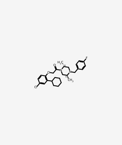 C[C@@H]1CN(Cc2ccc(F)cc2)[C@@H](C)CN1C(=O)COc1ccc(Cl)cc1C1CCCCC1